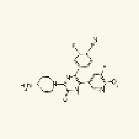 COc1ncc(-c2c(-c3ccc(C#N)c(F)c3)nc(N3CCC(N)CC3)c(=O)n2C)cc1F